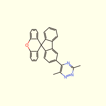 Cc1nnc(C)c(-c2ccc3c(c2)-c2ccccc2C32c3ccccc3Oc3ccccc32)n1